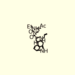 C=CCN1C[C@H](C(=O)N(CSCC(C)=O)C(=O)NCC)C[C@@H]2c3cccc4[nH]cc(c34)C[C@H]21